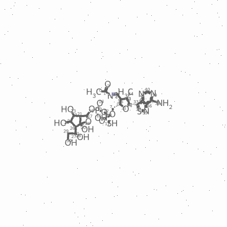 CC(=O)/N=C/C1[C@@H](COP(=O)(S)OP(=O)(O)OC2OC3(O)C2C(O)C(O)C3[C@@H](O)CO)O[C@@H](c2snc3c(N)ncnc23)[C@H]1C